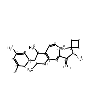 C=C(C1=CC(NCC(F)(F)F)=C(C(C)CN2C=C(C)C=C(F)C2)C=CN1)N(C)C1(CCCC)CCC1